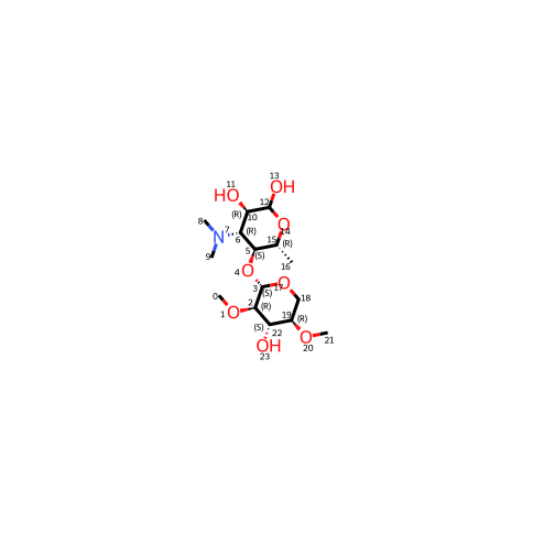 CO[C@H]1[C@H](O[C@H]2[C@H](N(C)C)[C@@H](O)C(O)O[C@@H]2C)OC[C@@H](OC)[C@@H]1O